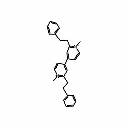 C[n+]1ccc(-c2cc[n+](C)c(CCc3ccccc3)c2)cc1CCc1ccccc1